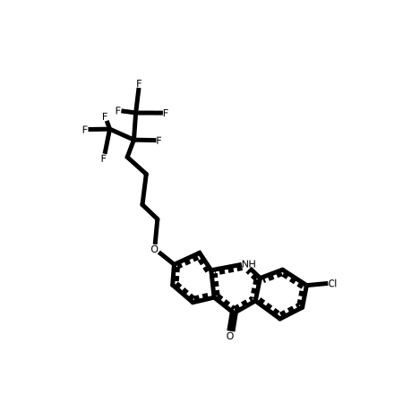 O=c1c2ccc(Cl)cc2[nH]c2cc(OCCCCC(F)(C(F)(F)F)C(F)(F)F)ccc12